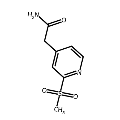 CS(=O)(=O)c1cc(CC(N)=O)ccn1